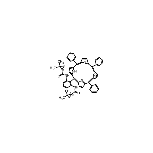 CC1(C)C[C@@H]1C(=O)Nc1cccc(NC(=O)[C@@H]2CC2(C)C)c1-c1c2nc(c(-c3ccccc3)c3ccc([nH]3)c(-c3ccccc3)c3nc(c(-c4ccccc4)c4ccc1[nH]4)C=C3)C=C2